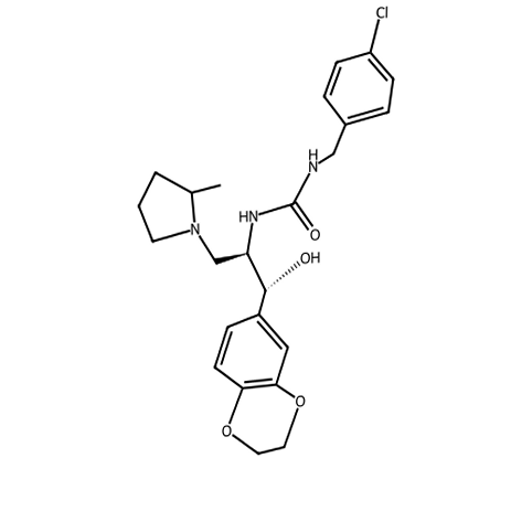 CC1CCCN1C[C@@H](NC(=O)NCc1ccc(Cl)cc1)[C@H](O)c1ccc2c(c1)OCCO2